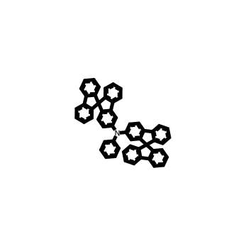 c1ccc(N(c2ccc3c(c2)-c2ccccc2C32c3ccccc3-c3ccccc32)c2ccc3c(c2)C2(c4ccccc4-c4ccccc42)c2ccccc2-3)cc1